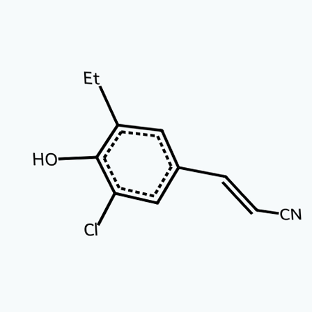 CCc1cc(C=CC#N)cc(Cl)c1O